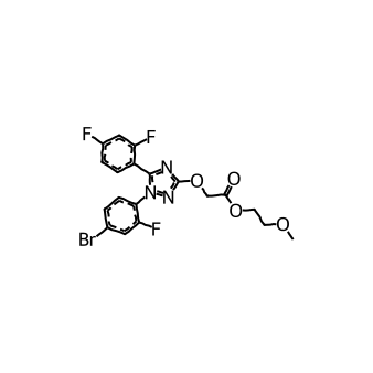 COCCOC(=O)COc1nc(-c2ccc(F)cc2F)n(-c2ccc(Br)cc2F)n1